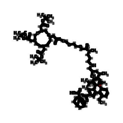 COc1cccc(OC)c1-c1cc(C(=O)NC2(C(=O)O)C3CC4CC(C3)CC2C4)nn1-c1ccc(N(C)CC(C)CNCCCN(C)C(=O)COCCOCCNC(=O)CN2CCN(CC(=O)OC(C)(C)C)CCN(CC(=O)OC(C)(C)C)CCN(CC(=O)OC(C)(C)C)CC2)cc1C(C)C